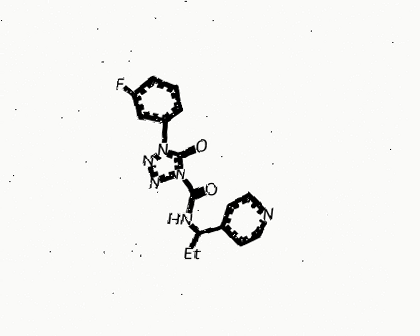 CCC(NC(=O)n1nnn(-c2cccc(F)c2)c1=O)c1ccncc1